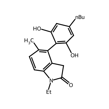 CCCCc1cc(O)c(-c2c(C)ccc3c2CC(=O)N3CC)c(O)c1